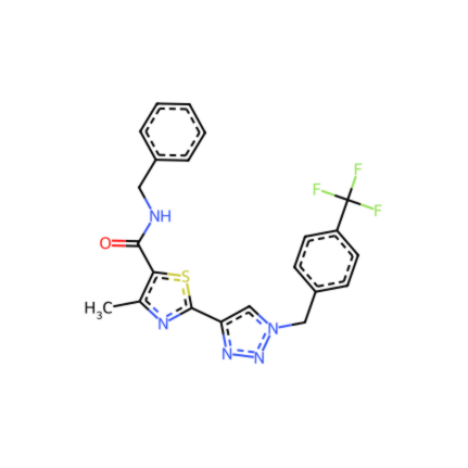 Cc1nc(-c2cn(Cc3ccc(C(F)(F)F)cc3)nn2)sc1C(=O)NCc1ccccc1